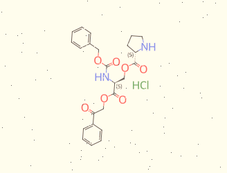 Cl.O=C(N[C@@H](COC(=O)[C@@H]1CCCN1)C(=O)OCC(=O)c1ccccc1)OCc1ccccc1